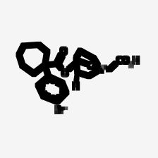 O=C(O)C[N+]12CCC(CC1)[C@@H](OC(=O)C1(c3ccccc3)CCCCCC1)C2.[Br-]